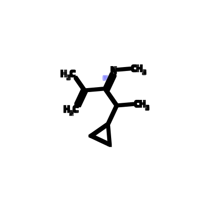 C=C(C)/C(=N/C)C(C)C1CC1